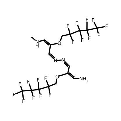 CN\C=C(/C=N\N=C/C(=C\N)OCC(F)(F)C(F)(F)C(F)(F)C(F)(F)F)OCC(F)(F)C(F)(F)C(F)(F)C(F)(F)F